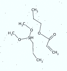 C=CC(=O)OCCC.[CH2]CC[SiH](OC)OC